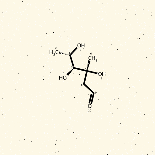 C[C@H](O)[C@H](O)[C@](C)(O)CC=O